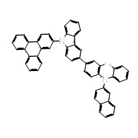 c1ccc2c(c1)Oc1cc(-c3ccc4c(c3)c3ccccc3n4-c3ccc4c5ccccc5c5ccccc5c4c3)ccc1N2c1ccc2ccccc2c1